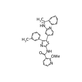 COc1ncccc1C(=O)Nc1nc(-c2cccc(C)c2)c(-c2ccnc(N[C@@H](C)c3ccccc3)c2)s1